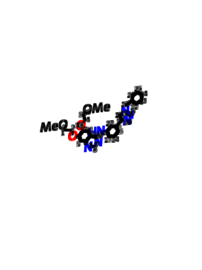 COCCOc1cc2ncnc(Nc3cccc(-c4cn(Cc5c[c]ccc5)nn4)c3)c2cc1OCCOC